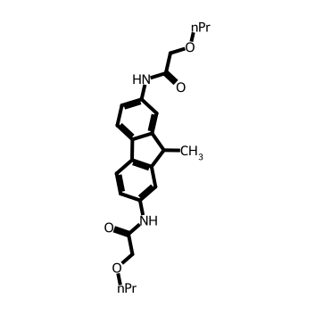 CCCOCC(=O)Nc1ccc2c(c1)C(C)c1cc(NC(=O)COCCC)ccc1-2